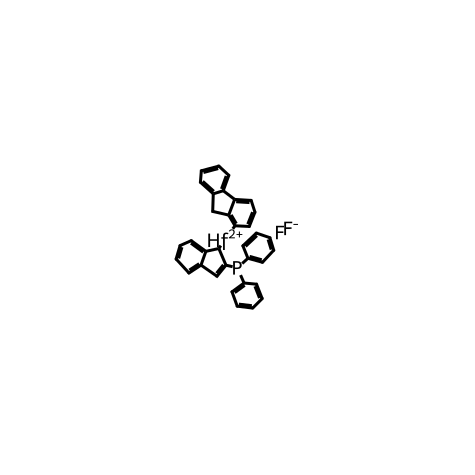 C1=C(P(c2ccccc2)c2ccccc2)[CH]([Hf+2][c]2cccc3c2Cc2ccccc2-3)c2ccccc21.[F-].[F-]